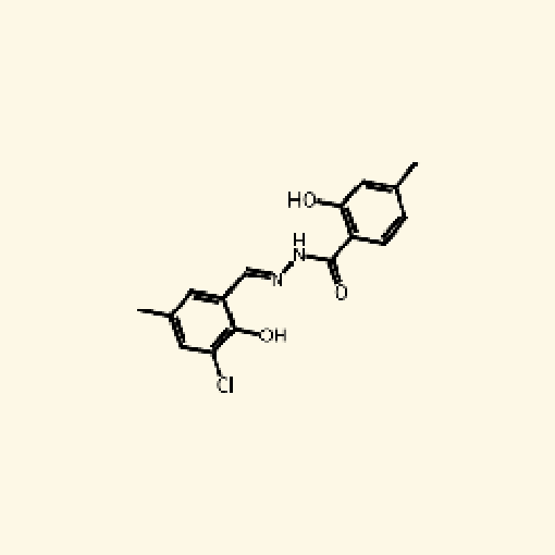 Cc1ccc(C(=O)N/N=C/c2cc(C)cc(Cl)c2O)c(O)c1